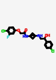 O=C(COc1ccc(Cl)c(F)c1)NC12CC(NCC(O)c3ccc(Cl)cc3)(C1)C2